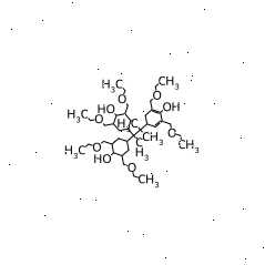 CCOCC1=CC(C(C)(C)C(C)(C2CC(COCC)C(O)C(COCC)C2)C2CC(COCC)C(O)C(COCC)C2)CC(COCC)=C1O